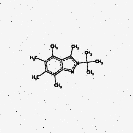 Cc1c(C)c(C)c2c(C)n(C(C)(C)C)nc2c1C